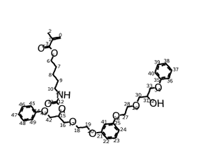 C=C(C)C(=O)OCCCCCNC(=O)OC(COCCOc1cccc(OCCOCC(O)COc2ccccc2)c1)COc1ccccc1